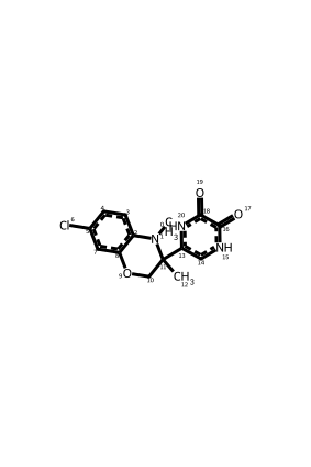 CN1c2ccc(Cl)cc2OCC1(C)c1c[nH]c(=O)c(=O)[nH]1